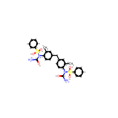 Cc1cc(Cc2ccc(N(C(N)=O)S(=O)(=O)c3ccccc3)c(C)c2)ccc1N(C(N)=O)S(=O)(=O)c1ccccc1